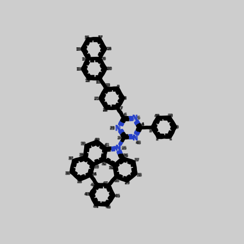 c1ccc(-c2nc(-c3ccc(-c4ccc5ccccc5c4)cc3)nc(-n3c4cccc5c4c4c6c(cccc6ccc43)-c3ccccc3-5)n2)cc1